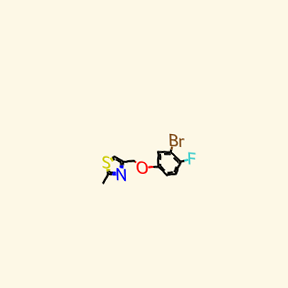 Cc1nc(COc2ccc(F)c(Br)c2)cs1